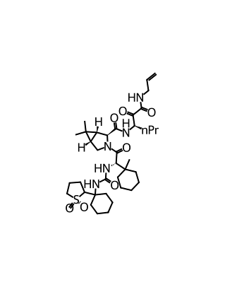 C=CCNC(=O)C(=O)[C@@H](CCC)NC(=O)[C@@H]1[C@@H]2[C@H](CN1C(=O)[C@@H](NC(=O)NC1(C3CCCS3(=O)=O)CCCCC1)C1(C)CCCCC1)C2(C)C